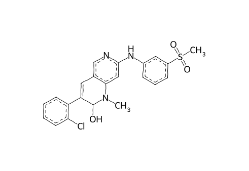 CN1c2cc(Nc3cccc(S(C)(=O)=O)c3)ncc2C=C(c2ccccc2Cl)C1O